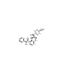 O=C(Nc1cccnc1)c1cccc2cnc(N[C@H]3CC[C@H](O)CC3)nc12